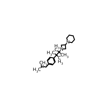 CN(C)Cc1ccc(C(C)(C)C(C)(C)N2CC(N3CCCCC3)C2)cc1